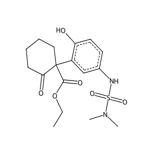 CCOC(=O)C1(c2cc(NS(=O)(=O)N(C)C)ccc2O)CCCCC1=O